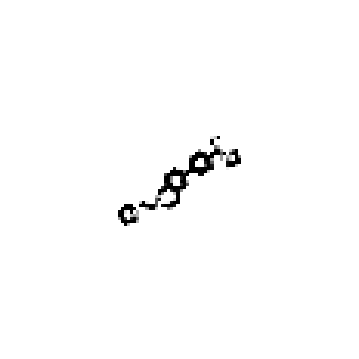 O=C(c1ccc(-c2ccc3c(c2)CCN(CCN2CCCC2)C3)cc1)N1CCC1